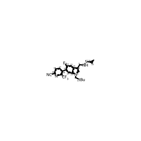 CC(C)(C)Cn1cc(CNSC2CC2)c2cc(F)c(-c3ccc(C#N)nc3C(F)(F)F)cc21